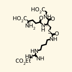 CCOC(=O)NC(=N)NCCCCNC(=O)SC[C@@H](NC(=O)CC[C@@H](N)C(=O)O)C(=O)NCC(=O)O